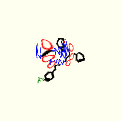 CN(C)C(=O)C(=O)NC12CCC(CC1)Cn1c2nc(C(=O)NCC(=O)Cc2ccc(F)cc2)c(OCc2ccccc2)c1=O